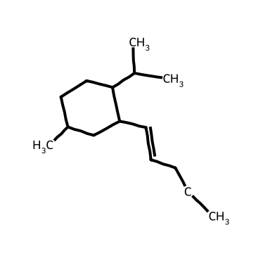 CCCC=CC1CC(C)CCC1C(C)C